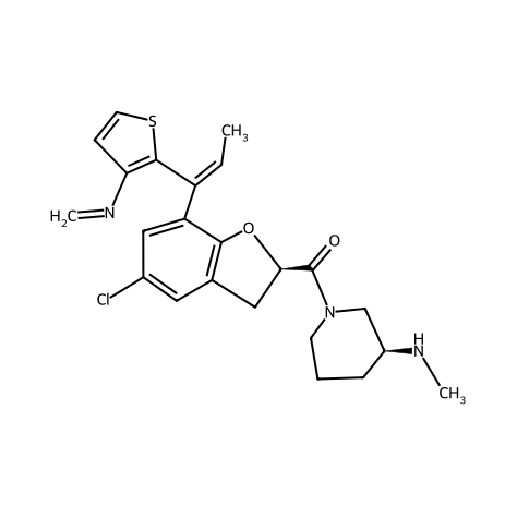 C=Nc1ccsc1/C(=C\C)c1cc(Cl)cc2c1O[C@@H](C(=O)N1CCC[C@H](NC)C1)C2